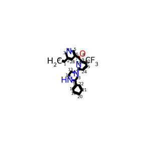 C=Cc1cncc(C(=O)c2nc(N3CCNC(c4ccccc4)C3)ccc2C(F)(F)F)c1